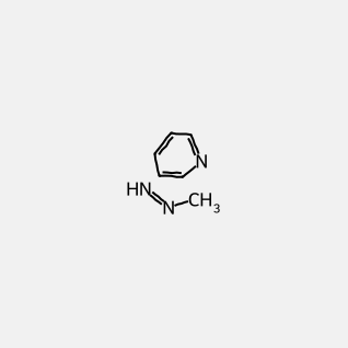 CN=N.c1ccncc1